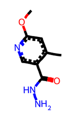 COc1cc(C)c(C(=O)NN)cn1